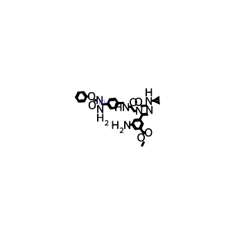 CCOC(=O)c1cc(N)cc(-c2cnc(NC3CC3)c(=O)n2CC(=O)NCc2ccc(/C(N)=N/C(=O)Oc3ccccc3)cc2)c1